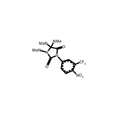 CNN1C(=O)N(c2ccc([N+](=O)[O-])c(C(F)(F)F)c2)C(=O)C1(NC)NC